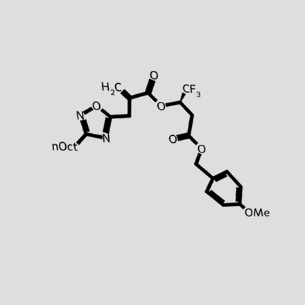 C=C(Cc1nc(CCCCCCCC)no1)C(=O)O[C@H](CC(=O)OCc1ccc(OC)cc1)C(F)(F)F